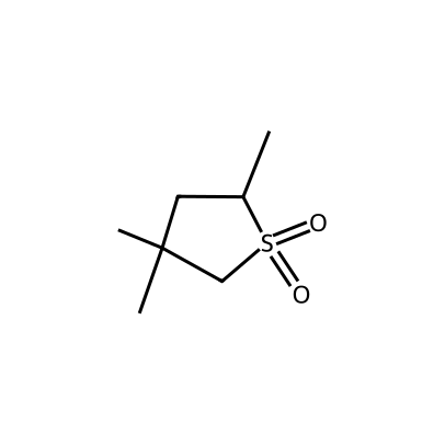 CC1CC(C)(C)CS1(=O)=O